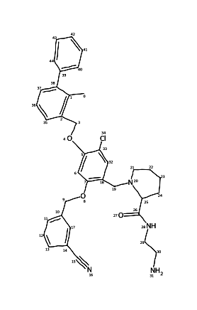 Cc1c(COc2cc(OCc3cccc(C#N)c3)c(CN3CCCCC3C(=O)NCCN)cc2Cl)cccc1-c1ccccc1